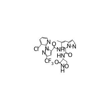 Cc1cc2ccnn2c(C(=O)NC2CONC2=O)c1NC(=O)c1cc(C(F)(F)F)nn1-c1ncccc1Cl